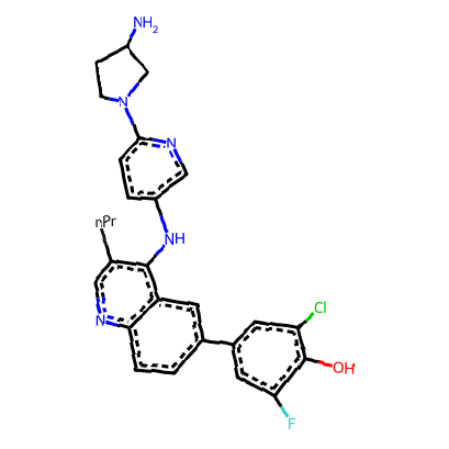 CCCc1cnc2ccc(-c3cc(F)c(O)c(Cl)c3)cc2c1Nc1ccc(N2CCC(N)C2)nc1